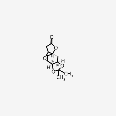 CC1(C)O[C@@H]2C[C@]34CC(OC3CC(=O)O4)[C@@H]2O1